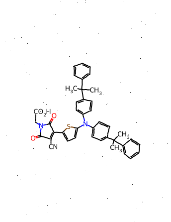 CC(C)(c1ccccc1)c1ccc(N(c2ccc(C(C)(C)c3ccccc3)cc2)c2ccc(C3=C(C#N)C(=O)N(CC(=O)O)C3=O)s2)cc1